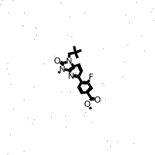 COC(=O)c1ccc(-c2ccc3c(n2)n(C)c(=O)n3CC(C)(C)C)c(F)c1